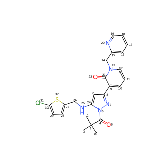 CC(C)(C)C(=O)n1nc(-c2cccn(Cc3ccccn3)c2=O)cc1NCc1ccc(Cl)s1